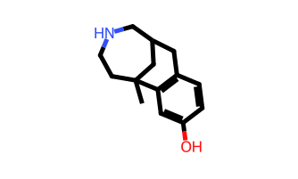 CC12CCNCC(Cc3ccc(O)cc31)C2